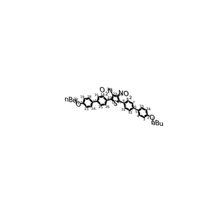 CCCCOc1ccc(-c2ccc(-c3sc(-c4ccc(-c5ccc(OCCCC)cc5)cc4)c([N+](=O)[O-])c3[N+](=O)[O-])cc2)cc1